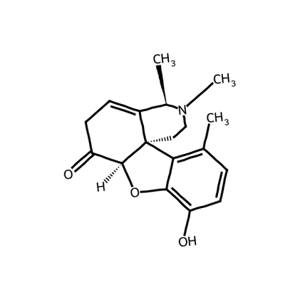 Cc1ccc(O)c2c1[C@]13CCN(C)[C@H](C)C1=CCC(=O)[C@@H]3O2